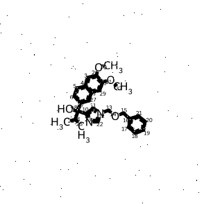 COc1cc2ccc(C(O)(c3cn(COCc4ccccc4)cn3)C(C)C)cc2cc1OC